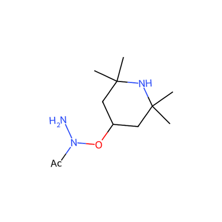 CC(=O)N(N)OC1CC(C)(C)NC(C)(C)C1